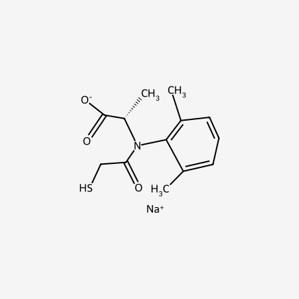 Cc1cccc(C)c1N(C(=O)CS)[C@@H](C)C(=O)[O-].[Na+]